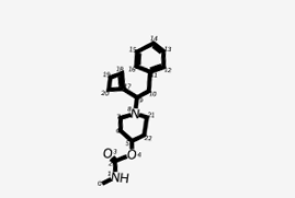 CNC(=O)OC1CCN(C(Cc2ccccc2)C2=CCC2)CC1